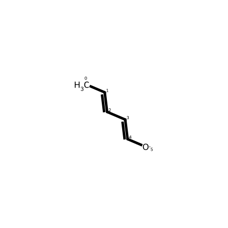 CC=CC=C[O]